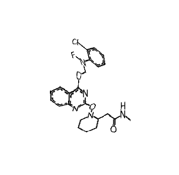 CNC(=O)CC1CCCCN1Oc1nc(OCN(F)c2ccccc2Cl)c2ccccc2n1